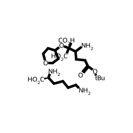 CC(C)(C)OC(=O)CCC(N)C(OC1CCOCC1)(C(=O)O)C(=O)O.NCCCC[C@H](N)C(=O)O